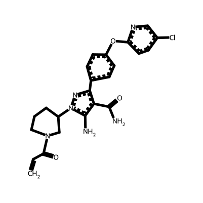 C=CC(=O)N1CCCC(n2nc(-c3ccc(Oc4ccc(Cl)cn4)cc3)c(C(N)=O)c2N)C1